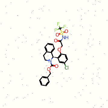 O=C(COc1ccc(Cl)cc1[C@@H]1c2ccccc2CCN1C(=O)OCc1ccccc1)NS(=O)(=O)C(F)(F)F